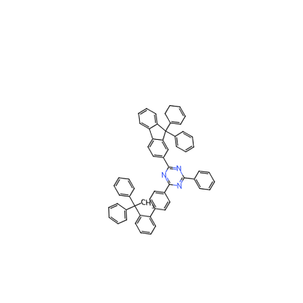 CC(c1ccccc1)(c1ccccc1)c1ccccc1-c1ccc(-c2nc(-c3ccccc3)nc(-c3ccc4c(c3)C(C3=CC=CCC3)(c3ccccc3)c3ccccc3-4)n2)cc1